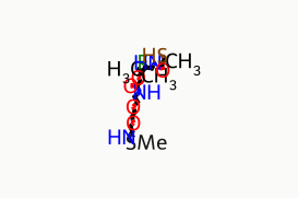 CSNCCOCCOCCNC(=O)COC(C)(C)C(F)CNC(=O)C(C)S